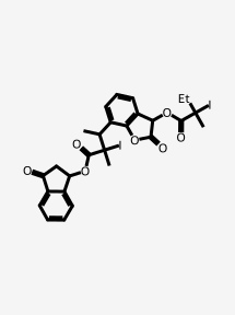 CCC(C)(I)C(=O)OC1C(=O)Oc2c1cccc2C(C)C(C)(I)C(=O)OC1CC(=O)c2ccccc21